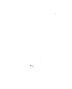 C[C@@H]1CC[C@@H](c2ccc(Cl)c(Cl)c2)N(C(=O)C(=O)Nc2cncc(C(N)=O)c2)C1